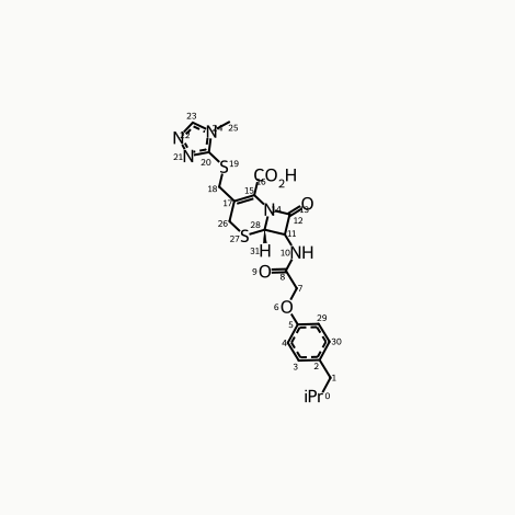 CC(C)Cc1ccc(OCC(=O)NC2C(=O)N3C(C(=O)O)=C(CSc4nncn4C)CS[C@@H]23)cc1